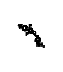 CC(C)(C)N1CCN(c2c(F)cc(OCCN3CCC(N)CC3)cc2F)CC1